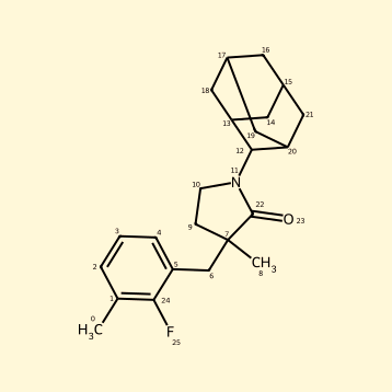 Cc1cccc(CC2(C)CCN(C3C4CC5CC(C4)CC3C5)C2=O)c1F